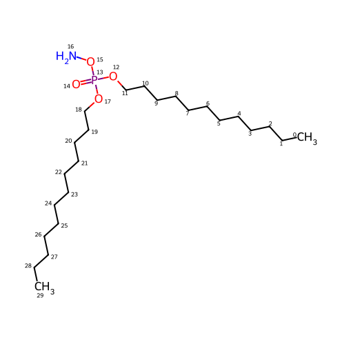 CCCCCCCCCCCCOP(=O)(ON)OCCCCCCCCCCCC